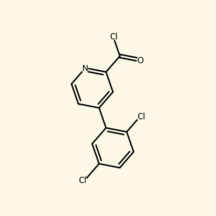 O=C(Cl)c1cc(-c2cc(Cl)ccc2Cl)ccn1